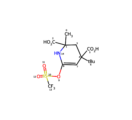 CC1(C(=O)O)CC(C(=O)O)(C(C)(C)C)C=C(OS(=O)(=O)C(F)(F)F)N1